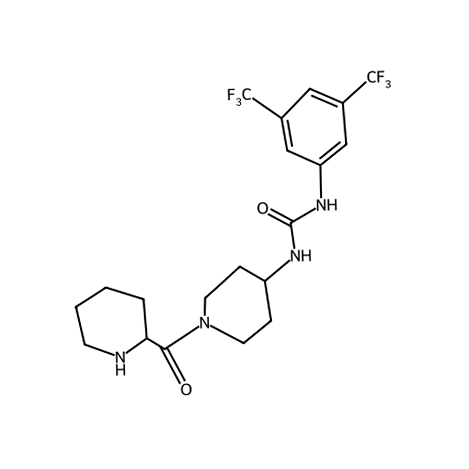 O=C(Nc1cc(C(F)(F)F)cc(C(F)(F)F)c1)NC1CCN(C(=O)C2CCCCN2)CC1